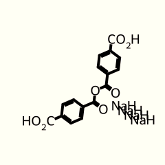 O=C(O)c1ccc(C(=O)OC(=O)c2ccc(C(=O)O)cc2)cc1.[NaH].[NaH].[NaH].[NaH]